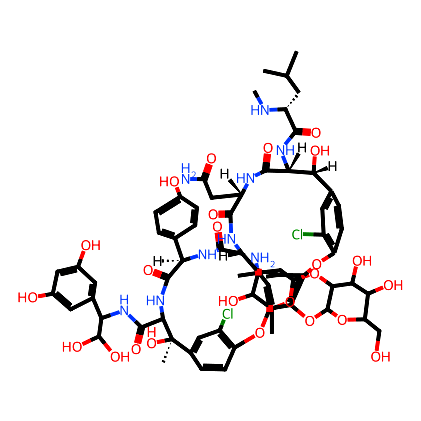 CN[C@H](CC(C)C)C(=O)N[C@H]1C(=O)N[C@@H](CC(N)=O)C(=O)N[C@H]2C(=O)N[C@H](c3ccc(O)cc3)C(=O)NC(C(=O)NC(c3cc(O)cc(O)c3)C(O)O)[C@](C)(O)c3ccc(c(Cl)c3)Oc3cc2cc(c3OC2OC(CO)C(O)C(O)C2OC2CC(C)(N)C(O)C(C)O2)Oc2ccc(cc2Cl)[C@H]1O